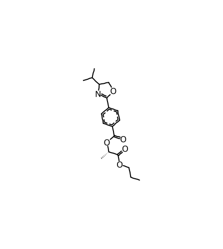 CCCOC(=O)[C@H](C)OC(=O)c1ccc(C2=NC(C(C)C)CO2)cc1